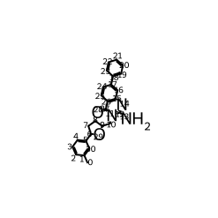 Cc1cccc(C2CCC(Cn3c(N)nc4cc(-c5ccccc5)ccc4c3=O)O2)c1